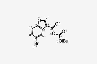 CC(C)COC(=O)OC(=O)c1coc2ccc(Br)cc12